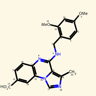 COc1ccc(CNc2nc3ccc(C(=O)O)cc3n3cnc(C)c23)c(OC)c1